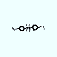 Nc1ccc(C(F)(F)C(F)(F)c2ccc(N)cc2)cc1